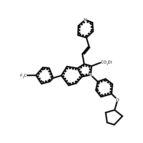 CCOC(=O)c1c(C=Cc2ccncc2)c2cc(-c3ccc(C(F)(F)F)cc3)ccc2n1-c1ccc(OC2CCCC2)cc1